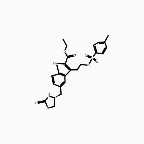 CCOC(=O)c1[nH]c2ccc(C[C@H]3COC(=O)N3)cc2c1CCOS(=O)(=O)c1ccc(C)cc1